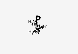 CC(C)Oc1nc(NCC(N)c2ccccc2)nc2c1cnn2C